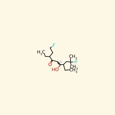 CCC(CCF)C(=O)/C=C(\O)C(CC)CC(C)(C)F